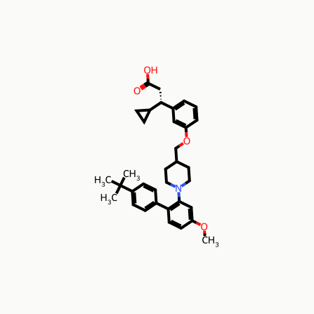 COc1ccc(-c2ccc(C(C)(C)C)cc2)c(N2CCC(COc3cccc([C@@H](CC(=O)O)C4CC4)c3)CC2)c1